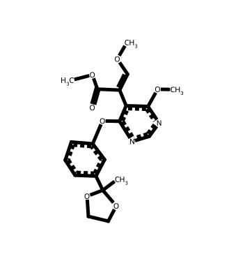 COC=C(C(=O)OC)c1c(OC)ncnc1Oc1cccc(C2(C)OCCO2)c1